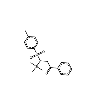 Cc1ccc(S(=O)(=O)C(CC(=O)c2ccccc2)[Si](C)(C)C)cc1